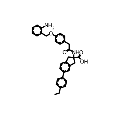 Nc1ccccc1COc1ccc(CC(=O)NC2(C(=O)O)Cc3ccc(-c4ccc(CI)cc4)cc3C2)cc1